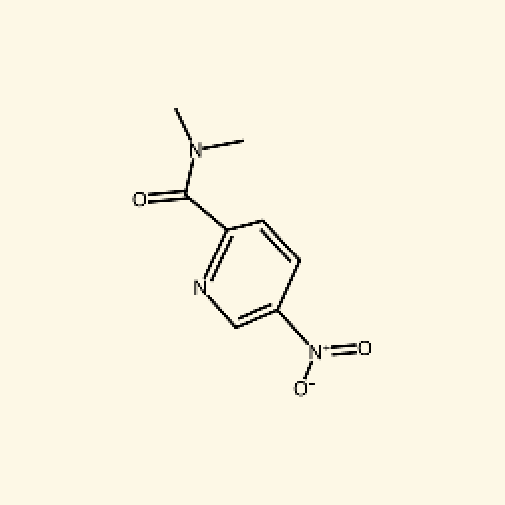 CN(C)C(=O)c1ccc([N+](=O)[O-])cn1